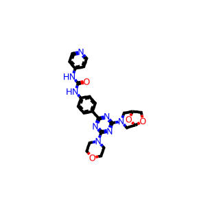 O=C(Nc1ccncc1)Nc1ccc(-c2nc(N3CCOCC3)nc(N3CC4COC(C3)O4)n2)cc1